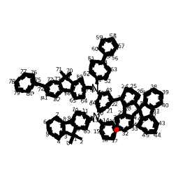 CC1(C)c2ccccc2-c2ccc(N(c3ccccc3)c3cc(-c4cccc5c4-c4ccccc4C54c5ccccc5-c5ccccc54)cc(N(c4ccc(-c5ccccc5)cc4)c4ccc5c(c4)C(C)(C)c4cc(-c6ccccc6)ccc4-5)c3)cc21